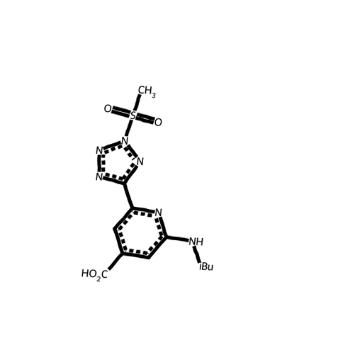 CCC(C)Nc1cc(C(=O)O)cc(-c2nnn(S(C)(=O)=O)n2)n1